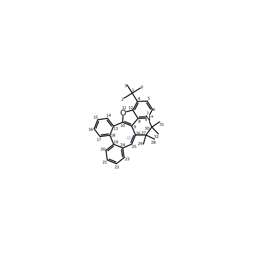 CC(C)(C)c1cc[n+]2c3c4c(oc13)-c1ccccc1-c1ccccc1/C=C\4C(C)(C)C2(C)C